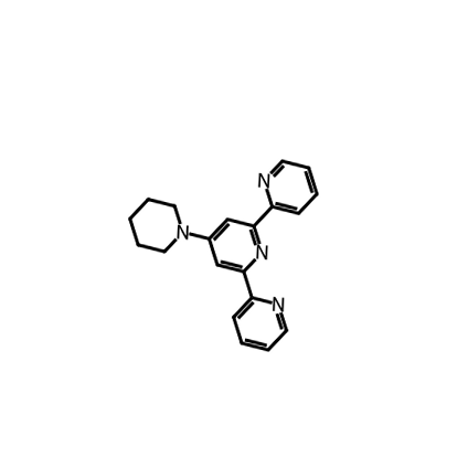 c1ccc(-c2cc(N3CCCCC3)cc(-c3ccccn3)n2)nc1